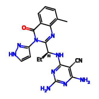 CC[C@H](Nc1nc(N)nc(N)c1C#N)c1nc2c(C)cccc2c(=O)n1-c1cc[nH]n1